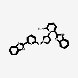 NC1C=CC=C(c2nc3ccccc3[nH]2)N1C1CCN(Oc2cccc(-c3nc4ccccc4[nH]3)n2)C1